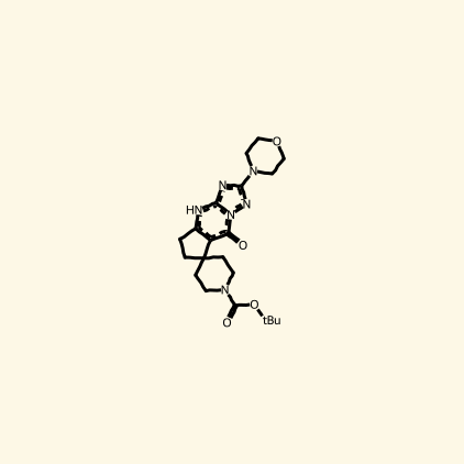 CC(C)(C)OC(=O)N1CCC2(CCc3[nH]c4nc(N5CCOCC5)nn4c(=O)c32)CC1